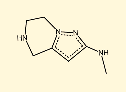 CNc1cc2n(n1)CCNC2